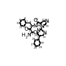 NC(=O)C(=O)C(Cc1ccccc1)NC(=O)c1cncn1-c1ncc(-c2ccccc2)cn1